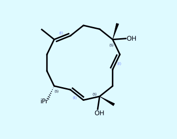 C/C1=C\CC[C@](C)(O)/C=C/C[C@](C)(O)/C=C/[C@H](C(C)C)CC1